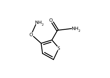 NOc1ccsc1C(N)=O